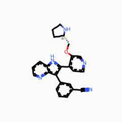 N#Cc1cccc(-c2c(-c3ccncc3OC[C@@H]3CCCN3)[nH]c3cccnc23)c1